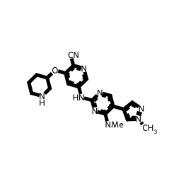 CNc1nc(Nc2cnc(C#N)c(OC3CCCNC3)c2)ncc1-c1cnn(C)c1